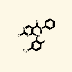 CN(C(=O)c1cnc(Cl)nc1Nc1cc([N+](=O)[O-])ccc1F)c1ccccc1